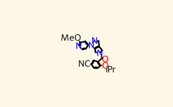 COc1cc(-n2ncc3c2CN(C(=O)c2cc(C#N)ccc2OC(C)C)C3)ccn1